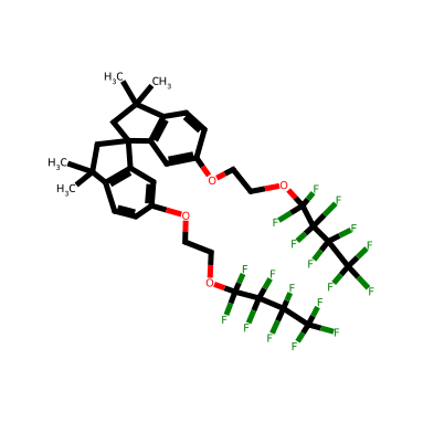 CC1(C)CC2(CC(C)(C)c3ccc(OCCOC(F)(F)C(F)(F)C(F)(F)C(F)(F)F)cc32)c2cc(OCCOC(F)(F)C(F)(F)C(F)(F)C(F)(F)F)ccc21